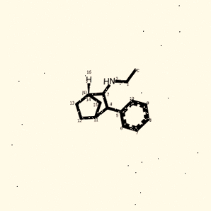 CCNC1C(c2ccccc2)C2CC[C@H]1C2